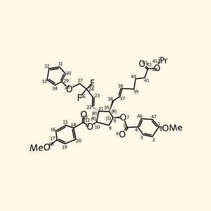 COc1ccc(C(=O)O[C@H]2C[C@@H](OC(=O)c3ccc(OC)cc3)[C@H](C=CC(F)(F)COc3ccccc3)[C@H]2CC=CCCCC(=O)OC(C)C)cc1